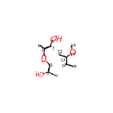 CC(O)COC(C)CO.CCC(C)OC